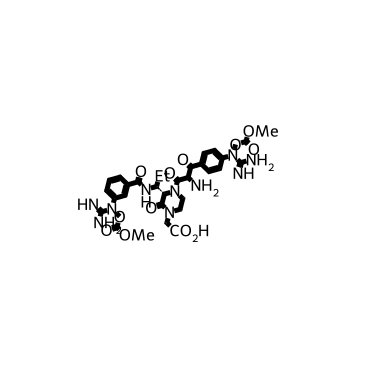 CCC(NC(=O)c1cccc(N(OC(=O)OC)C(=N)N)c1)[C@H]1C(=O)N(CC(=O)O)CCN1C(=O)C(N)C(=O)c1ccc(N(OC(=O)OC)C(=N)N)cc1